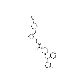 Cc1cccc(C(CN2CCC[C@H](C(=O)NCCc3cncn3Cc3ccc(C#N)cc3)C2)c2ccccc2)c1